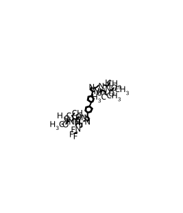 CCCN(Cc1ncc(-c2ccc(-c3ccc(-c4cnc([C@@H]5CN(CC(F)(F)F)CN5C(=O)C(NC(=O)OC)C(C)C)[nH]4)cc3)cc2)[nH]1)C(=O)[C@@H](NC(=O)OC)C(C)C